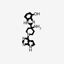 NC1(c2nc3c(O)cccc3[nH]2)CCN(c2ncnc3[nH]ccc23)CC1